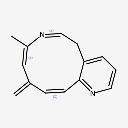 C=C1/C=C\c2ncccc2C/C=N\C(C)=C/1